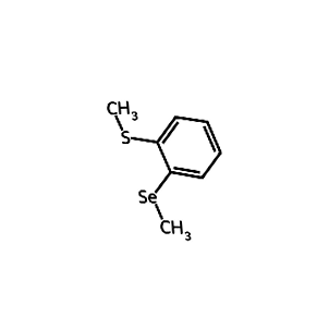 CSc1ccccc1[Se]C